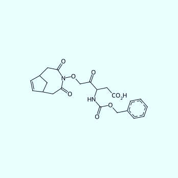 O=C(O)CC(NC(=O)OCc1ccccc1)C(=O)CON1C(=O)CC2C=CC(CC1=O)C2